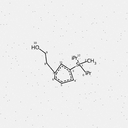 CC(C)[Si](C)(c1cccc(CCO)c1)C(C)C